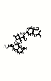 CC(C)Oc1nc(NC(=O)C2(Sc3nc(N)nc4nc[nH]c34)CCC2)ncc1Cl